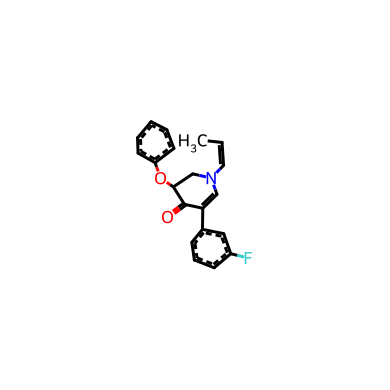 C/C=C\N1C=C(c2cccc(F)c2)C(=O)C(Oc2ccccc2)C1